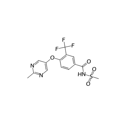 Cc1ncc(Oc2ccc(C(=O)NS(C)(=O)=O)cc2C(F)(F)F)cn1